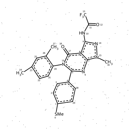 CSc1ccc(-c2nc3c(c(NC(=O)C(F)(F)F)nn3C)c(=O)n2-c2ccc(C)cc2C)cc1